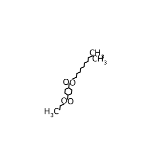 CCCCOC(=O)C1CCC(C(=O)OCCCCCCCCCC(C)C)CC1